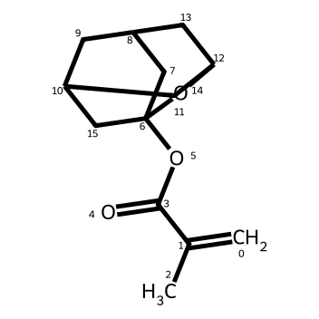 C=C(C)C(=O)OC12CC3CC(CC(C3)O1)C2